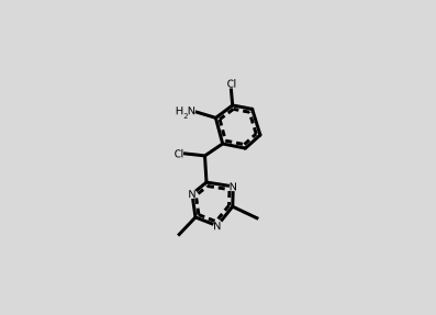 Cc1nc(C)nc(C(Cl)c2cccc(Cl)c2N)n1